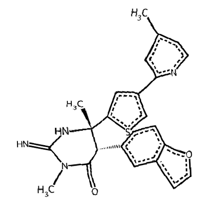 Cc1ccnc(-c2csc([C@@]3(C)NC(=N)N(C)C(=O)[C@H]3c3ccc4occc4c3)c2)c1